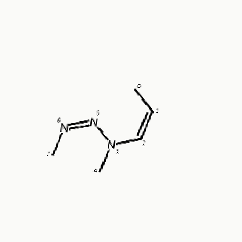 C/C=C\N(C)/N=N\C